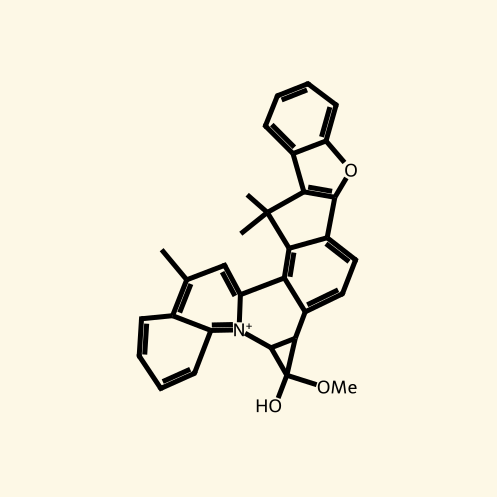 COC1(O)C2c3ccc4c(c3-c3cc(C)c5ccccc5[n+]3C21)C(C)(C)c1c-4oc2ccccc12